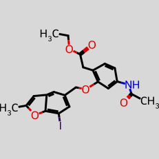 CCOC(=O)Cc1ccc(NC(C)=O)cc1OCc1cc(I)c2oc(C)cc2c1